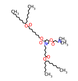 CCCCCCCCC(CCCCCC)OC(=O)CCCCCN1CC(OC(=O)CCN(C)C)C[C@H]1C(=O)OCCCCCCCC(=O)OC(CCCCCCCC)CCCCCCCC